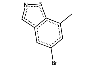 Cc1cc(Br)cc2cnsc12